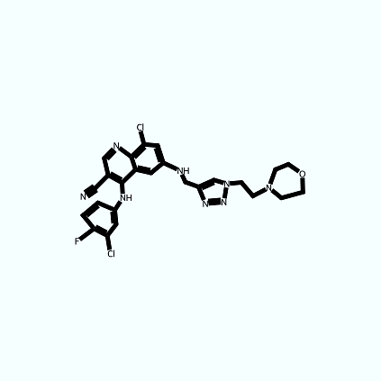 N#Cc1cnc2c(Cl)cc(NCc3cn(CCN4CCOCC4)nn3)cc2c1Nc1ccc(F)c(Cl)c1